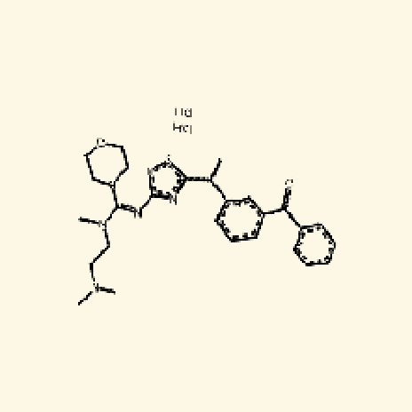 CC(c1cccc(C(=O)c2ccccc2)c1)c1nc(N=C(N(C)CCN(C)C)N2CCOCC2)ns1.Cl.Cl